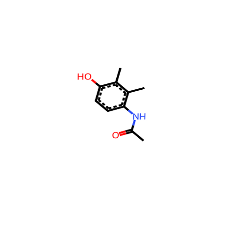 CC(=O)Nc1ccc(O)c(C)c1C